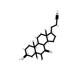 CC1C(=O)C2C3CCC(CCC#N)C3(C)CCC2C2(C)CCC(=O)CC12C